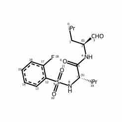 CC(C)C[C@@H](C=O)NC(=O)[C@@H](NS(=O)(=O)c1ccccc1F)C(C)C